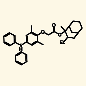 CCC1CC2CCCC(C2)C1(C)OC(=O)COc1c(C)cc([SH](c2ccccc2)c2ccccc2)cc1C